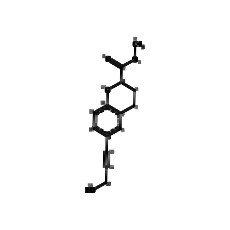 COC(=O)C1CCc2cc(C#CCO)ccc2O1